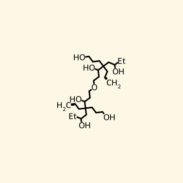 C=CCC(CCCO)(CC(O)CC)C(O)CCOCCC(O)C(CC=C)(CCCO)CC(O)CC